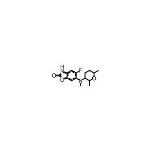 CC1CCC(N(C)c2cc3oc(=O)[nH]c3cc2F)C(C)O1